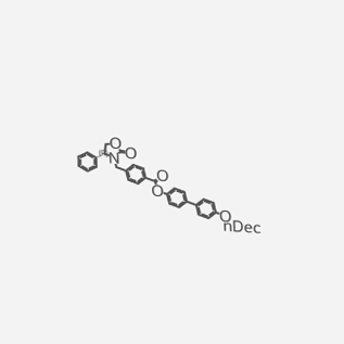 CCCCCCCCCCOc1ccc(-c2ccc(OC(=O)c3ccc(CN4C(=O)OC[C@H]4c4ccccc4)cc3)cc2)cc1